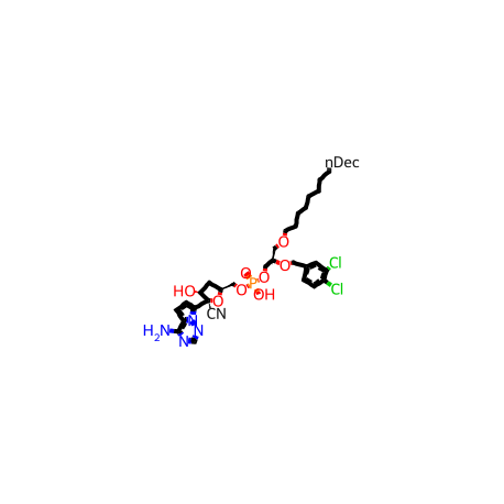 CCCCCCCCCCCCCCCCCCOC[C@H](COP(=O)(O)OC[C@@H]1C[C@@H](O)[C@](C#N)(c2ccc3c(N)ncnn23)O1)OCc1ccc(Cl)c(Cl)c1